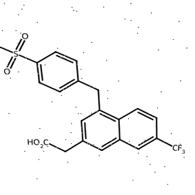 CS(=O)(=O)c1ccc(Cc2cc(CC(=O)O)cc3cc(C(F)(F)F)ccc23)cc1